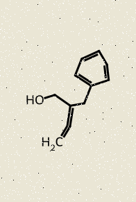 C=C=C(CO)Cc1ccccc1